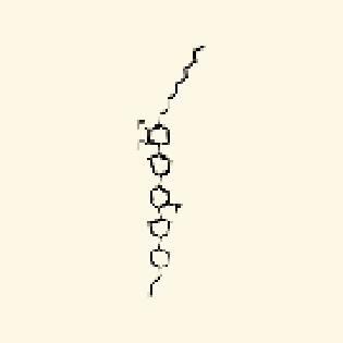 CCCCCCCCCCc1ccc(-c2ccc(-c3ccc(C4=CCC(C5CCC(CCC)CC5)CC4)c(F)c3)cc2)c(F)c1F